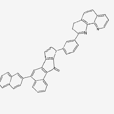 C=C1C2=C(C=CC2c2cccc(C3=Nc4c(ccc5cccnc45)CC3)c2)c2cc(-c3ccc4ccccc4c3)c3ccccc3c21